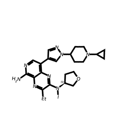 CCc1nc2c(N)ncc(-c3cnn(C4CCN(C5CC5)CC4)c3)c2nc1N(I)[C@H]1CCOC1